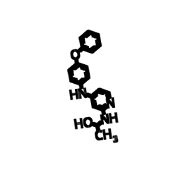 CC(O)Nc1cc(Nc2ccc(Oc3ccccc3)cc2)ccn1